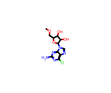 COCC1OC(n2cnc3c(Cl)nc(N)nc32)C(O)C1O